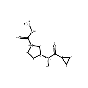 CN(C(=O)C1CC1)[C@H]1CCN(C(=O)OC(C)(C)C)C1